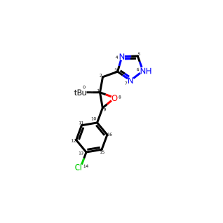 CC(C)(C)C1(Cc2nc[nH]n2)OC1c1ccc(Cl)cc1